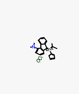 C[C](C)=[Zr+2]([C]1=CC=CC1)[CH]1c2ccccc2-c2c1cccc2N(C)C.[Cl-].[Cl-]